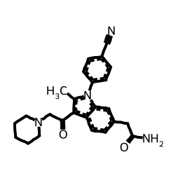 Cc1c(C(=O)CN2CCCCC2)c2ccc(CC(N)=O)cc2n1-c1ccc(C#N)cc1